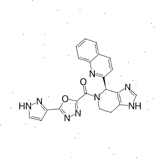 O=C(c1nnc(-c2cc[nH]n2)o1)N1CCc2[nH]cnc2[C@@H]1c1ccc2ccccc2n1